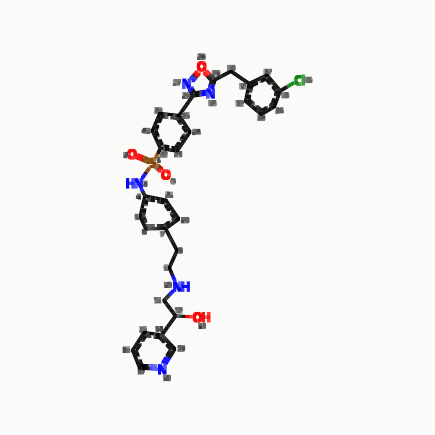 O=S(=O)(Nc1ccc(CCNCC(O)c2cccnc2)cc1)c1ccc(-c2noc(Cc3cccc(Cl)c3)n2)cc1